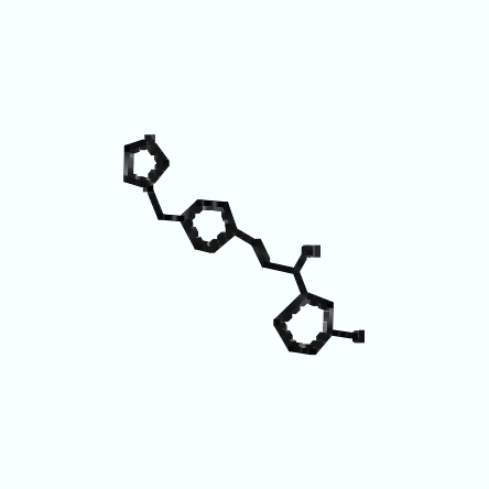 OC(/C=C/c1ccc(Cn2ccnc2)cc1)c1cccc(Cl)c1